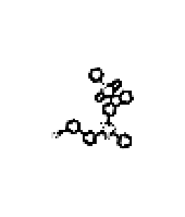 N#Cc1cccc(-c2cccc(-c3nc(-c4ccccc4)nc(-c4ccc5c(c4)-c4ccccc4C54c5ccccc5N(c5ccccc5)c5ccccc54)n3)c2)c1